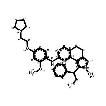 CCC(c1ccccc1)c1c2c(nn1C)CCc1cnc(Nc3ccc(OCCN4CCCC4)cc3OC)nc1-2